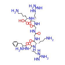 N=C(N)NCCC[C@H](NC(=O)CNC(=O)CNC(=O)[C@H](CCCCN)NC(=O)[C@H](CCCNC(=N)N)NC(=O)[C@@H](N)Cc1ccccc1)C(=O)N[C@H](CCCCN)C(=O)O